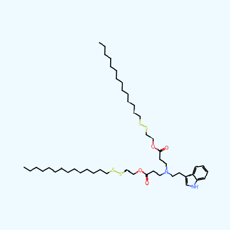 CCCCCCCCCCCCCCSSCCOC(=O)CCN(CCC(=O)OCCSSCCCCCCCCCCCCCC)CCc1c[nH]c2ccccc12